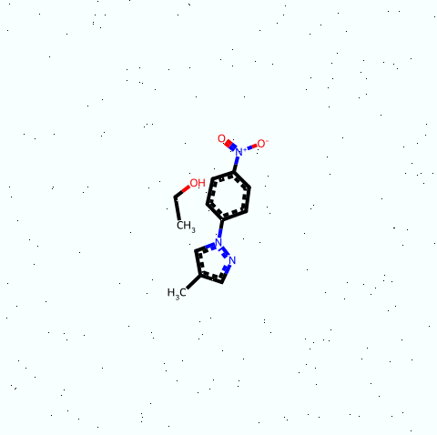 CCO.Cc1cnn(-c2ccc([N+](=O)[O-])cc2)c1